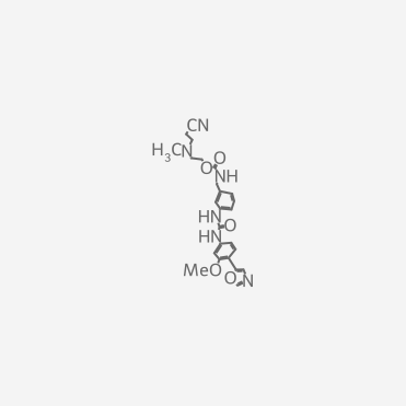 COc1cc(NC(=O)Nc2cccc(CNC(=O)OCCN(C)CCC#N)c2)ccc1-c1cnco1